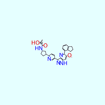 COc1cc2[nH]nc(-c3ccc(C4CCC(NC(=O)[C@H](C)O)C4)nc3)c2nc1-c1cccc2c1CCC2